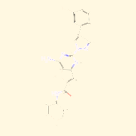 Nc1nc(-n2cc(-c3cccc(Br)c3)cn2)nc2cc(C(=O)NC3CCOCC3)oc12